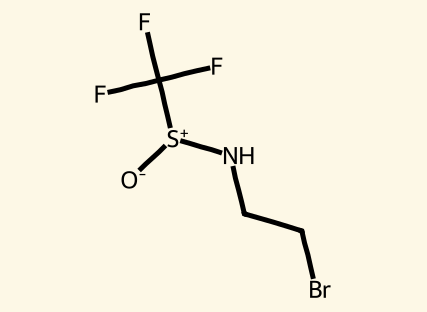 [O-][S+](NCCBr)C(F)(F)F